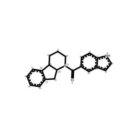 O=C(c1ccc2[nH]ccc2c1)N1CCCC2c3ccccc3CC21